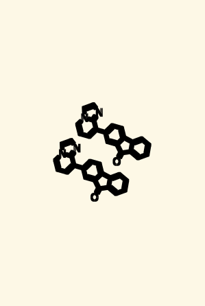 O=C1c2ccccc2-c2ccc(-c3cccn4ccnc34)cc21.O=C1c2ccccc2-c2ccc(-c3cccn4ccnc34)cc21